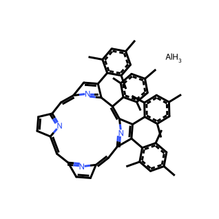 Cc1cc(C)c(C2=CC3=CC4=NC(=CC5=NC(=CC6=NC(=C(c7c(C)cc(C)cc7C)C2=N3)C(c2c(C)cc(C)cc2C)=C6c2c(C)cc(C)cc2C)C=C5)C=C4)c(C)c1.[AlH3]